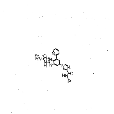 CCNC(=O)Nc1nc2cc(-n3cnc(C(=O)NC4CC4)c3)cc(-c3ccccn3)c2[nH]1